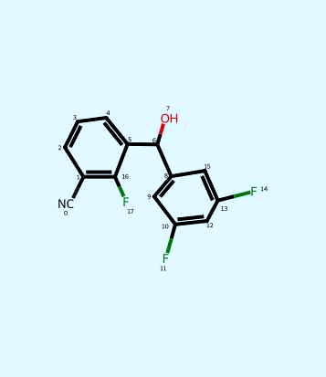 N#Cc1cccc(C(O)c2cc(F)cc(F)c2)c1F